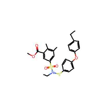 CCc1ccc(Oc2ccc(SN(CC)S(=O)(=O)c3cc(C)c(C)c(C(=O)OC)c3)cc2)cc1